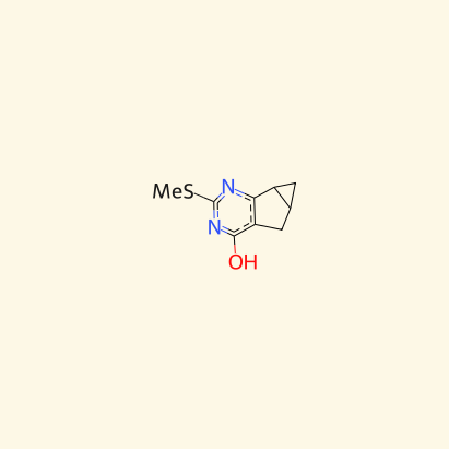 CSc1nc(O)c2c(n1)C1CC1C2